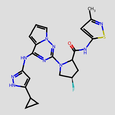 Cc1cc(NC(=O)C2C[C@@H](F)CN2c2nc(Nc3cc(C4CC4)[nH]n3)c3cccn3n2)sn1